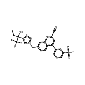 CCC(O)(c1cn(Cc2ccc3c(-c4cccc(S(C)(=O)=O)c4)cc(C#N)nc3c2)nn1)C(F)(F)F